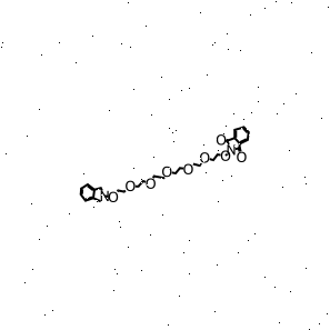 O=C1c2ccccc2C(=O)N1OCCOCCOCCOCCOCCOCCON1Cc2ccccc2C1